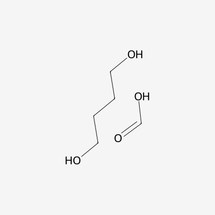 O=CO.OCCCCO